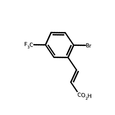 O=C(O)C=Cc1cc(C(F)(F)F)ccc1Br